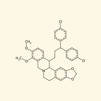 COc1ccc2c(c1OC)CN1CCc3cc4c(cc3C1C2CCC(c1ccc(Cl)cc1)c1ccc(Cl)cc1)OCO4